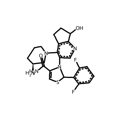 NC(=O)C1=CSC(c2c(F)cccc2F)N1c1cnc2c(c1N1CCC[C@H](N)C1)CCC2O